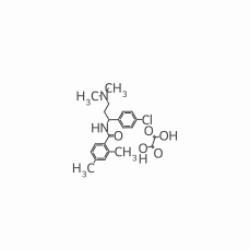 Cc1ccc(C(=O)NC(CCN(C)C)c2ccc(Cl)cc2)c(C)c1.O=C(O)C(=O)O